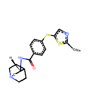 COc1ncc(Sc2ccc(C(=O)N[C@H]3CN4CCC3CC4)cc2)s1